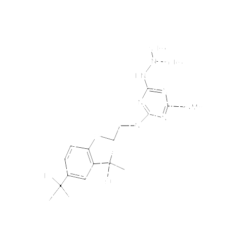 CCCCCCN(CCCCCC)Nc1nc(NC)nc(NCCOc2ccc(C(C)(C)CC)cc2C(C)(C)CC)n1